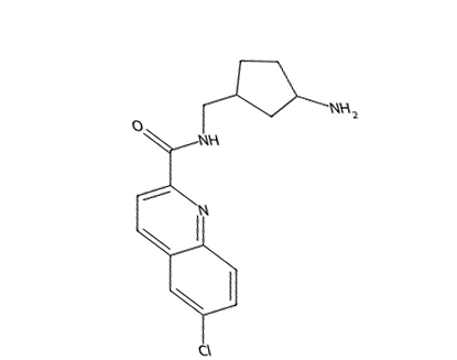 NC1CCC(CNC(=O)c2ccc3cc(Cl)ccc3n2)C1